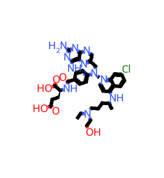 CCN(CCO)CCCC(C)Nc1ccnc2cc(Cl)ccc12.CN(Cc1cnc2nc(N)nc(N)c2n1)c1ccc(C(=O)N[C@@H](CCC(=O)O)C(=O)O)cc1